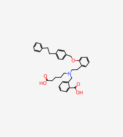 O=C(O)CCCCN(CCc1ccccc1OCc1ccc(CCc2ccccc2)cc1)Cc1ccccc1C(=O)O